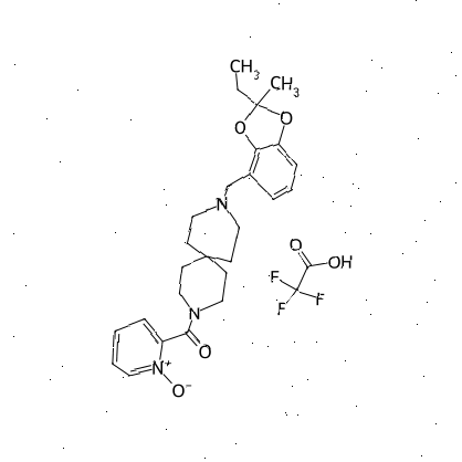 CCC1(C)Oc2cccc(CN3CCC4(CC3)CCN(C(=O)c3cccc[n+]3[O-])CC4)c2O1.O=C(O)C(F)(F)F